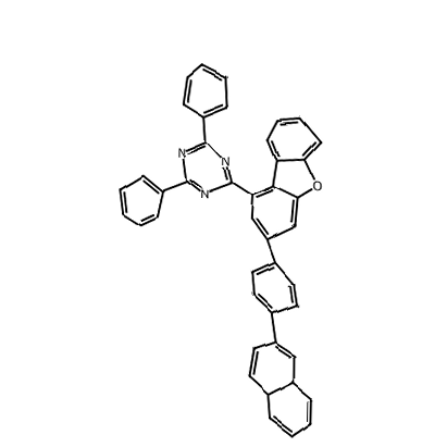 C1=CC2C=CC(c3ccc(-c4cc(-c5nc(-c6ccccc6)nc(-c6ccccc6)n5)c5c(c4)oc4ccccc45)cc3)=CC2C=C1